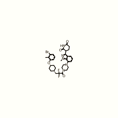 Cc1c(Br)cccc1O[C@H]1CC[C@H](CC(F)(F)C(=O)N2CCN(c3cccc4c(C5CCC(=O)NC5=O)nn(C)c34)CC2)CC1